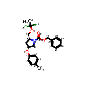 CC(F)(F)OC[C@@H]1C[C@@H](Oc2ccc(C(F)(F)F)cc2)CN1C(=O)OCc1ccccc1